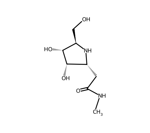 CNC(=O)C[C@H]1N[C@H](CO)[C@@H](O)[C@H]1O